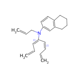 C=C/C=C\C(=C/C=C)N(CC=C)c1ccc2c(c1)CCCC2